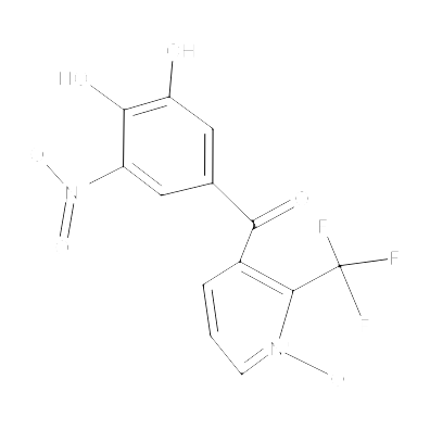 O=C(c1cc(O)c(O)c([N+](=O)[O-])c1)c1ccc[n+]([O-])c1C(F)(F)F